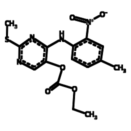 CCOC(=O)Oc1cnc(SC)nc1Nc1ccc(C)cc1[N+](=O)[O-]